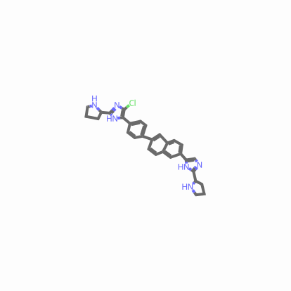 Clc1nc(C2CCCN2)[nH]c1-c1ccc(-c2ccc3cc(-c4cnc(C5CCCN5)[nH]4)ccc3c2)cc1